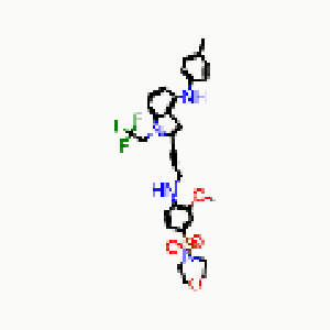 COc1cc(S(=O)(=O)N2CCOCC2)ccc1NCC#Cc1cc2c(Nc3ccc(C)cc3)cccc2n1CC(F)(F)F